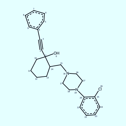 OC1(C#Cc2ccccc2)CCCCC1CN1CCN(c2ccccc2Cl)CC1